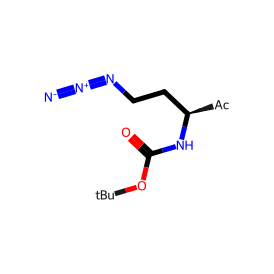 CC(=O)[C@H](CCN=[N+]=[N-])NC(=O)OC(C)(C)C